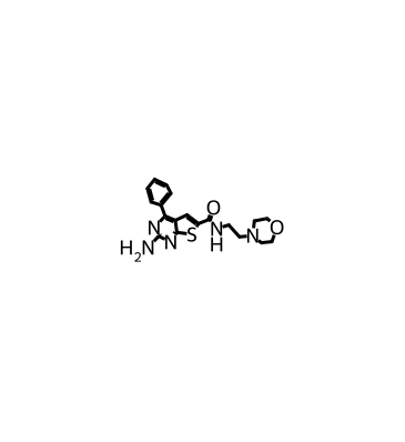 Nc1nc(-c2ccccc2)c2cc(C(=O)NCCN3CCOCC3)sc2n1